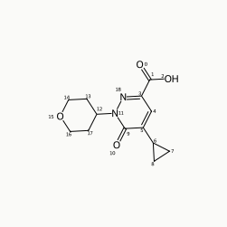 O=C(O)c1cc(C2CC2)c(=O)n(C2CCOCC2)n1